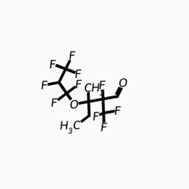 CCC(C)(OC(F)(F)C(F)C(F)(F)F)C(F)(C=O)C(F)(F)F